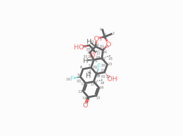 CC1(C)O[C@H]2C[C@H]3[C@@H]4C[C@H](F)C5=CC(=O)C=C[C@]5(C)[C@@]4(F)[C@@H](O)C[C@]3(C)[C@]2(C(=O)CO)O1